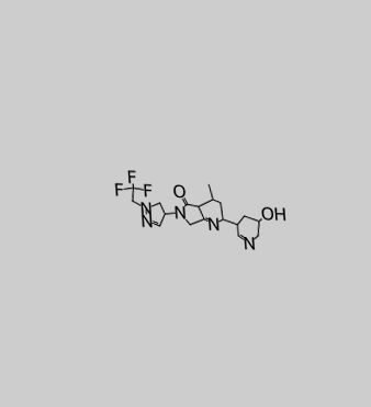 CC1CC(C2C=NCC(O)C2)N=C2CN(C3C=NN(CC(F)(F)F)C3)C(=O)C21